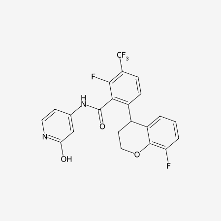 O=C(Nc1ccnc(O)c1)c1c(C2CCOc3c(F)cccc32)ccc(C(F)(F)F)c1F